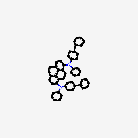 c1ccc(-c2ccc(N(c3ccccc3)c3ccc4ccc5ccc(N(c6ccccc6)c6ccc(-c7ccccc7)cc6)c6ccc3c4c56)cc2)cc1